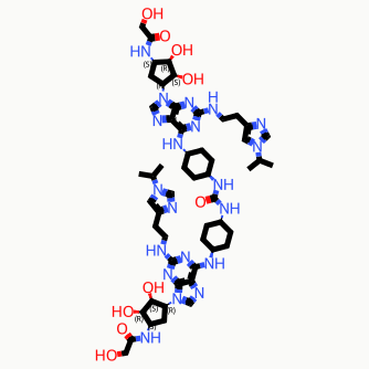 CC(C)n1cnc(CCNc2nc(N[C@H]3CC[C@H](NC(=O)N[C@H]4CC[C@H](Nc5nc(NCCc6cn(C(C)C)cn6)nc6c5ncn6[C@@H]5C[C@H](NC(=O)CO)[C@@H](O)[C@H]5O)CC4)CC3)c3ncn([C@@H]4C[C@H](NC(=O)CO)[C@@H](O)[C@H]4O)c3n2)c1